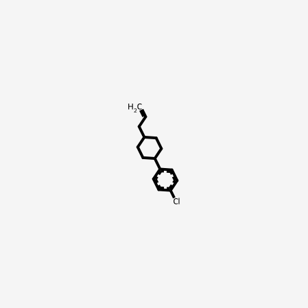 C=CCC1CCC(c2ccc(Cl)cc2)CC1